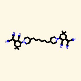 CC1(C)CC(=C(C#N)C#N)C(C#N)=C(N2CCC(CCCCCCC3CCN(C4=C(C#N)C(=C(C#N)C#N)CC(C)(C)C4)CC3)CC2)C1